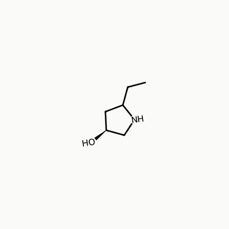 CCC1C[C@H](O)CN1